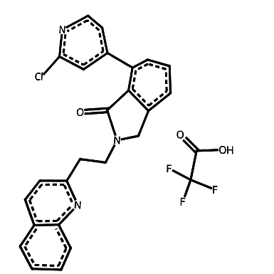 O=C(O)C(F)(F)F.O=C1c2c(cccc2-c2ccnc(Cl)c2)CN1CCc1ccc2ccccc2n1